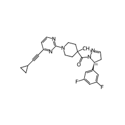 CC1(C(=O)N2N=CC[C@H]2c2cc(F)cc(F)c2)CCN(c2nccc(C#CC3CC3)n2)CC1